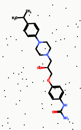 CC(C)c1ccc(N2CCN(C[C@H](O)COc3ccc(NC(N)=O)cc3)CC2)cc1